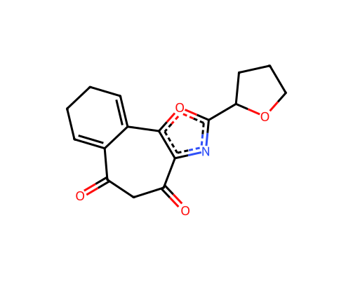 O=C1CC(=O)c2nc(C3CCCO3)oc2C2=CCCC=C12